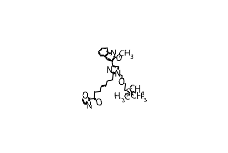 COc1nc2ccccc2cc1-c1cn(COCC[Si](C)(C)C)c(CCC=CCCC(=O)c2ncco2)n1